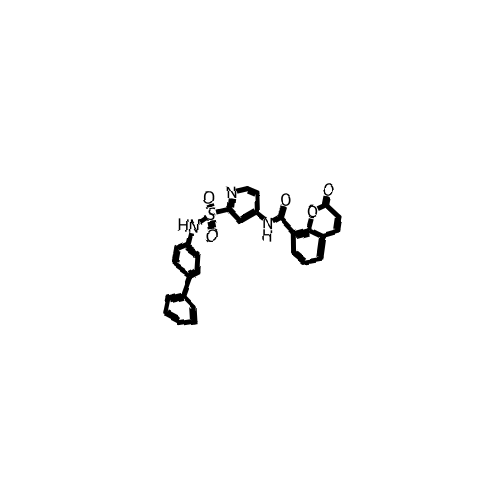 O=C(Nc1ccnc(S(=O)(=O)Nc2ccc(-c3ccccc3)cc2)c1)c1cccc2ccc(=O)oc12